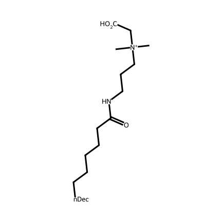 CCCCCCCCCCCCCCCC(=O)NCCC[N+](C)(C)CC(=O)O